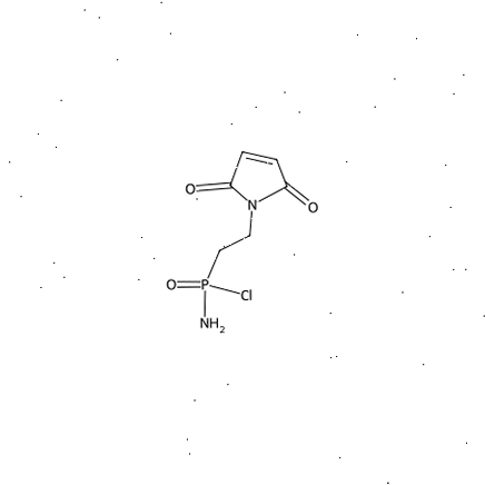 NP(=O)(Cl)CCN1C(=O)C=CC1=O